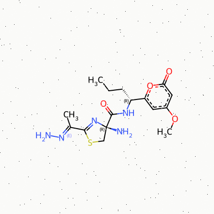 CCC[C@@H](NC(=O)[C@]1(N)CSC(/C(C)=N/N)=N1)c1cc(OC)cc(=O)o1